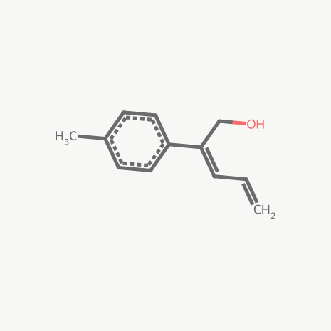 C=CC=C(CO)c1ccc(C)cc1